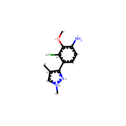 COc1c(N)ccc(-c2nn(C)cc2C)c1F